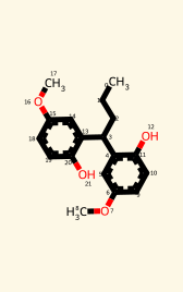 CCCC(c1cc(OC)ccc1O)c1cc(OC)ccc1O